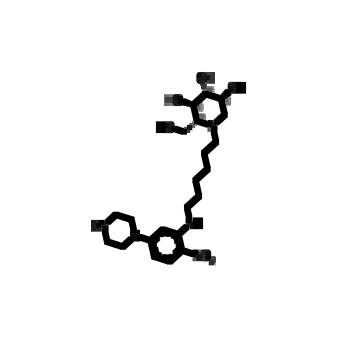 O=[N+]([O-])c1ccc(N2CCNCC2)cc1NCCCCCCN1C[C@H](O)[C@@H](O)[C@H](O)[C@H]1CO